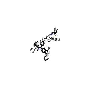 CN(C)C(=O)/C=C/CN(CCOc1ccc(/C(=C(/CC(F)(F)F)B2OC(C)(C)C(C)(C)O2)c2ccc3c(c2)c(F)nn3C2CCCCO2)cn1)C(=O)OC(C)(C)C